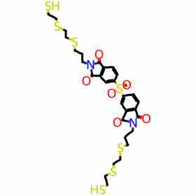 O=C1c2ccc(S(=O)(=O)c3ccc4c(c3)C(=O)N(CCCSCCSCCS)C4=O)cc2C(=O)N1CCCSCCSCCS